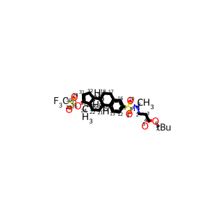 CN(CCC(=O)OC(C)(C)C)S(=O)(=O)c1ccc2c(c1)CC[C@@H]1[C@@H]2CC[C@]2(C)C(OS(=O)(=O)C(F)(F)F)=CC[C@@H]12